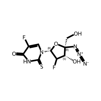 [N-]=[N+]=N[C@]1(CO)O[C@@H](n2cc(F)c(=O)[nH]c2=S)C(F)[C@H]1O